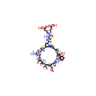 CNC(=O)C[C@@H]1NC(=O)c2csc(n2)-c2ccc(-c3nc(NC(=O)N(CCCC(=O)O)CCCC(=O)O)cs3)nc2-c2csc(n2)-c2csc(n2)[C@H]([C@@H](O)c2ccccc2)NC(=O)CNC(=O)c2nc(sc2COC)[C@H](C(C)C)NC(=O)c2nc1sc2C